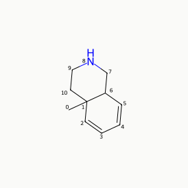 CC12C=CC=CC1CNCC2